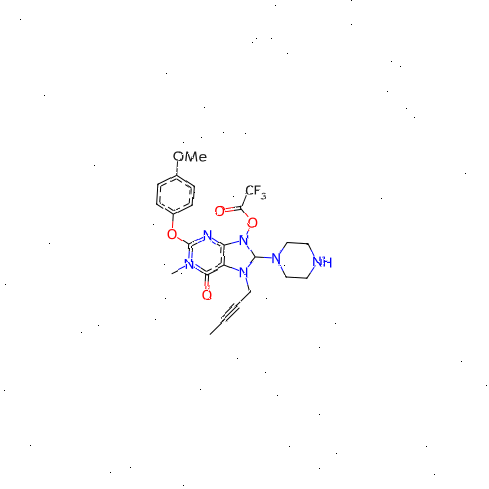 CC#CCN1c2c(nc(Oc3ccc(OC)cc3)n(C)c2=O)N(OC(=O)C(F)(F)F)C1N1CCNCC1